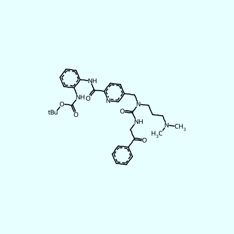 CN(C)CCCN(Cc1ccc(C(=O)Nc2ccccc2NC(=O)OC(C)(C)C)nc1)C(=O)NCC(=O)c1ccccc1